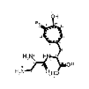 NC[C@H](N)C(=O)N[C@@H](Cc1ccc(O)c(=S)cc1)C(=O)O